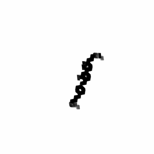 CCCCC[C@H]1CC[C@H](CCc2ccc(-c3ccc(CCCC)nn3)cc2F)CC1